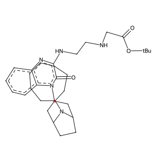 CC(C)(C)OC(=O)CNCCNc1nc2ccccc2n(C2CC3CCC(C2)N3C2CCCCCCC2)c1=O